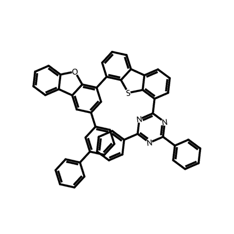 c1ccc(-c2cccc(-c3cc(-c4cccc5c4sc4c(-c6nc(-c7ccccc7)nc(-c7ccccc7)n6)cccc45)c4oc5ccccc5c4c3)c2)cc1